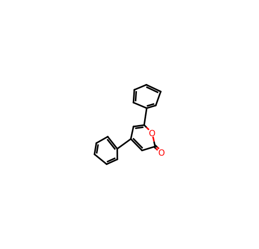 O=c1cc(-c2ccccc2)cc(-c2ccccc2)o1